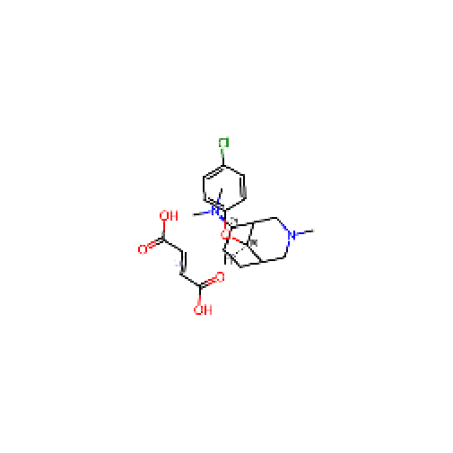 CN1CC2CC[C@@H](N(C)C)C(C1)[C@@H]2Oc1ccc(Cl)cc1.O=C(O)/C=C/C(=O)O